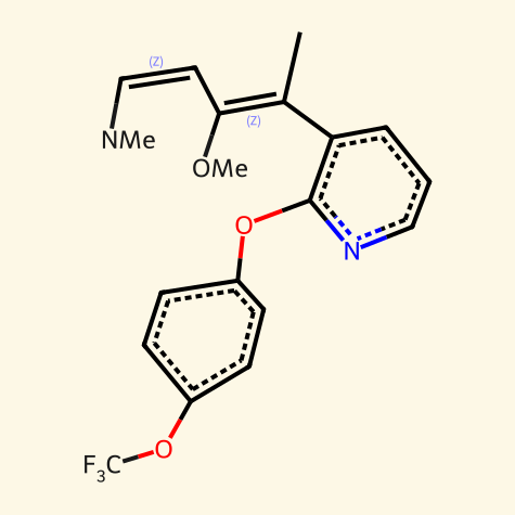 CN/C=C\C(OC)=C(/C)c1cccnc1Oc1ccc(OC(F)(F)F)cc1